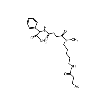 CC(=O)CCC(=O)NCCCCCN(C)C(=O)CCC(=O)NC(C(N)=O)c1ccccc1